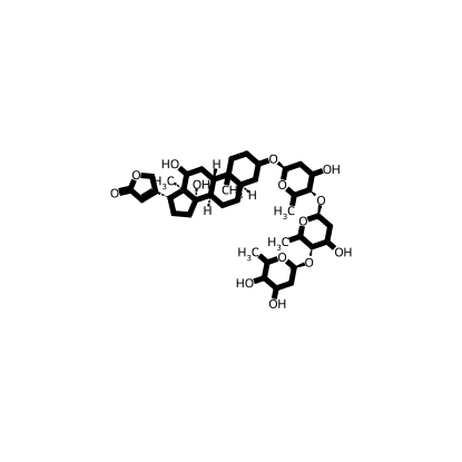 CC1O[C@@H](O[C@H]2C(O)C[C@H](O[C@H]3C(O)C[C@H](OC4CCC5(C)[C@H](CC[C@@H]6[C@@H]5CC(O)[C@]5(C)[C@@H](C7=CC(=O)OC7)CC[C@]65O)C4)OC3C)OC2C)CC(O)C1O